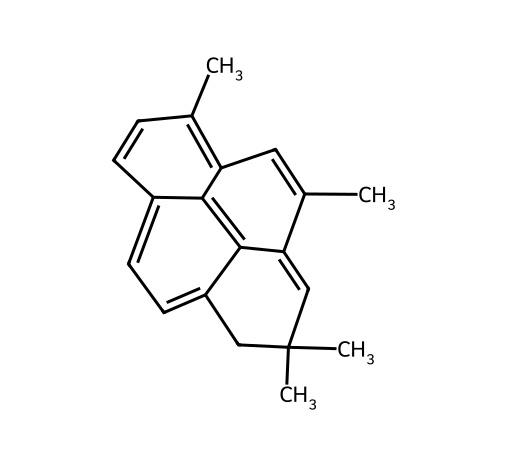 Cc1cc2c(C)ccc3ccc4c(c1=CC(C)(C)C4)c32